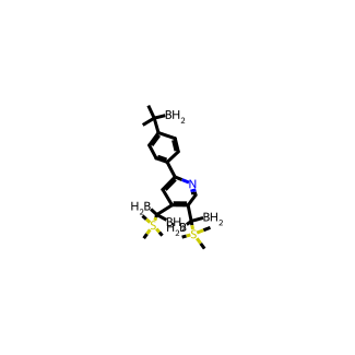 BC(C)(C)c1ccc(-c2cc(C(B)(B)S(C)(C)C)c(C(B)(B)S(C)(C)C)cn2)cc1